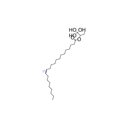 CCCCCCCC/C=C\CCCCCCCCCCCC(=O)OC(CC)C(O)(O)O